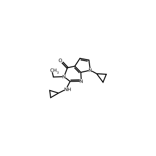 CCn1c(NC2CC2)nc2c(ccn2C2CC2)c1=O